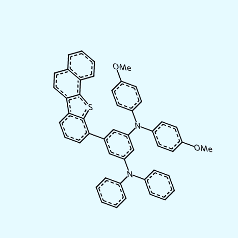 COc1ccc(N(c2ccc(OC)cc2)c2cc(-c3cccc4c3sc3c5ccccc5ccc43)cc(N(c3ccccc3)c3ccccc3)c2)cc1